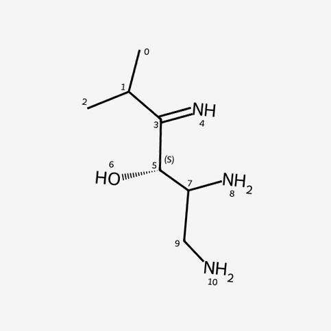 CC(C)C(=N)[C@@H](O)C(N)CN